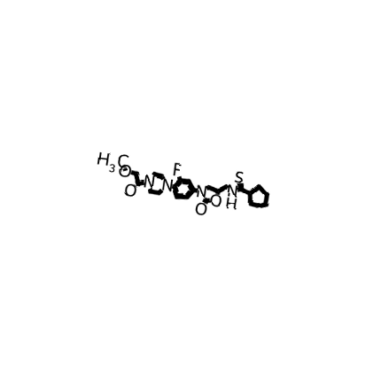 COCC(=O)N1CCN(c2ccc(N3CC(CNC(=S)C4CCCCC4)OC3=O)cc2F)CC1